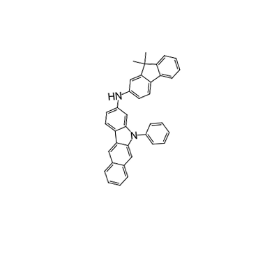 CC1(C)c2ccccc2-c2ccc(Nc3ccc4c5cc6ccccc6cc5n(-c5ccccc5)c4c3)cc21